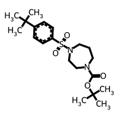 CC(C)(C)OC(=O)N1CCCN(S(=O)(=O)c2ccc(C(C)(C)C)cc2)CC1